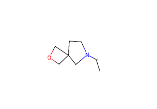 C[CH]N1CCC2(COC2)C1